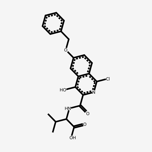 CC(C)C(NC(=O)c1nc(Cl)c2ccc(OCc3ccccc3)cc2c1O)C(=O)O